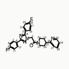 O=C(Cn1nc(-c2ccc(F)cc2)nc1-c1ccc(F)cc1)N1CCC(c2ccccn2)CC1